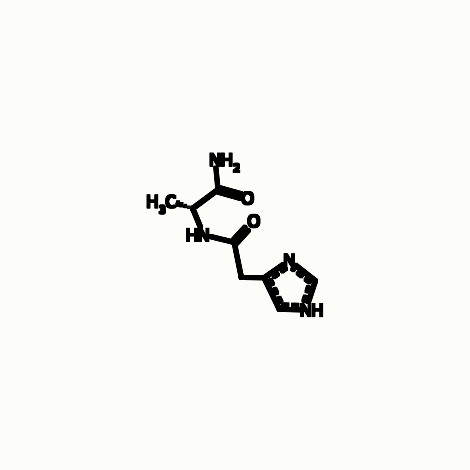 C[C@@H](NC(=O)Cc1c[nH]cn1)C(N)=O